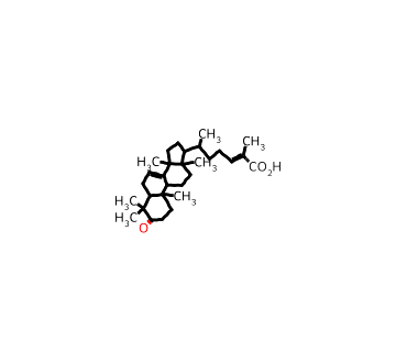 C/C(=C\CCC(C)C1CCC2(C)C3=CCC4C(C)(C)C(=O)CCC4(C)C3CCC12C)C(=O)O